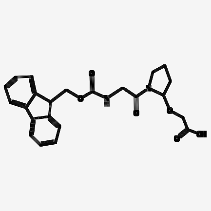 O=C(O)COC1CCCN1C(=O)CNC(=O)OCC1c2ccccc2-c2ccccc21